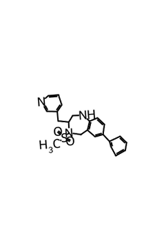 CS(=O)(=O)N1Cc2cc(-c3ccccc3)ccc2NCC1Cc1cccnc1